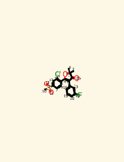 CC1(C)OC(c2ccc(S(C)(=O)=O)cc2Cl)=C(c2cccc(F)c2)C1=O